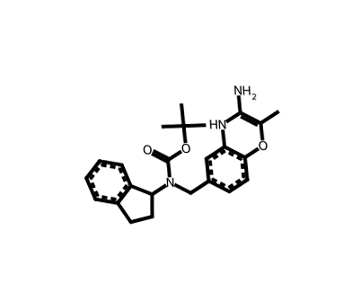 CC1=C(N)Nc2cc(CN(C(=O)OC(C)(C)C)C3CCc4ccccc43)ccc2O1